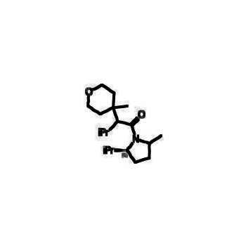 CC(C)C(C(=O)N1C(C)CC[C@H]1C(C)C)C1(C)CCOCC1